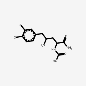 NC(=O)C(CC(N)Cc1ccc(Cl)c(Cl)c1)NC(=O)O